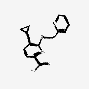 O=C(O)c1ccc(C2CC2)c(OCc2ccccn2)n1